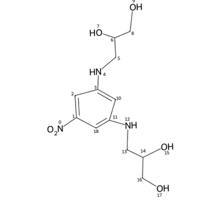 O=[N+]([O-])c1cc(NCC(O)CO)cc(NCC(O)CO)c1